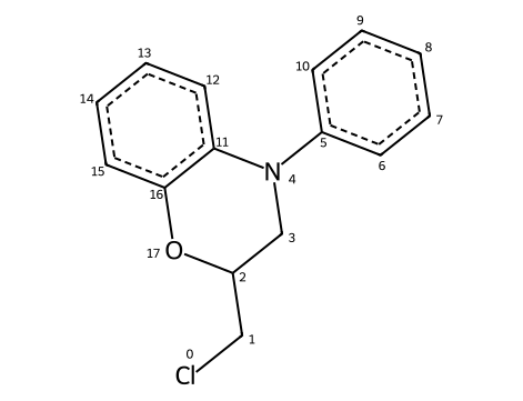 ClCC1CN(c2ccccc2)c2ccccc2O1